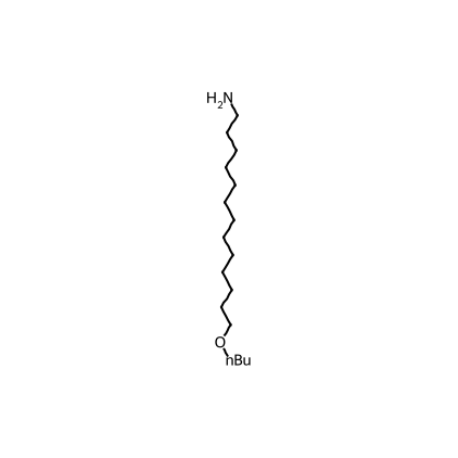 CCCCOCCCCCCCCCCCCCN